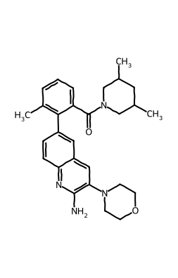 Cc1cccc(C(=O)N2CC(C)CC(C)C2)c1-c1ccc2nc(N)c(N3CCOCC3)cc2c1